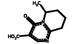 CC1CCCc2ncc(C(=O)O)c(=O)n21